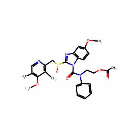 COc1ccc2c(c1)nc([S+]([O-])Cc1ncc(C)c(OC)c1C)n2C(=O)N(CCOC(C)=O)c1ccccc1